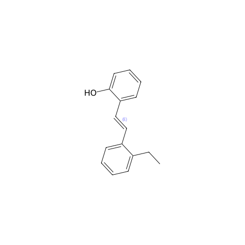 CCc1ccccc1/C=C/c1ccccc1O